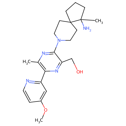 COc1ccnc(-c2nc(CO)c(N3CCC4(CCCC4(C)N)CC3)nc2C)c1